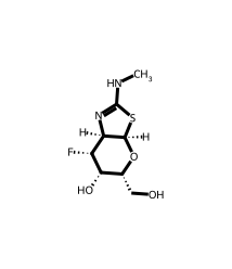 CNC1=N[C@@H]2[C@@H](F)[C@@H](O)[C@@H](CO)O[C@@H]2S1